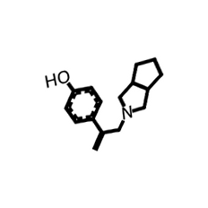 C=C(CN1CC2CCCC2C1)c1ccc(O)cc1